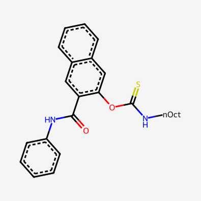 CCCCCCCCNC(=S)Oc1cc2ccccc2cc1C(=O)Nc1ccccc1